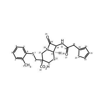 Cc1ccccc1SCC1(C(=O)O)CS[C@@H]2C(NC(=O)Cc3cccs3)C(=O)N2C1